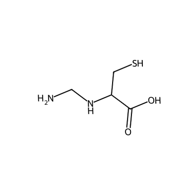 NCNC(CS)C(=O)O